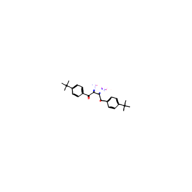 CC(C)(C)c1ccc(C(=O)c2no[n+]([O-])c2C(=O)c2ccc(C(C)(C)C)cc2)cc1